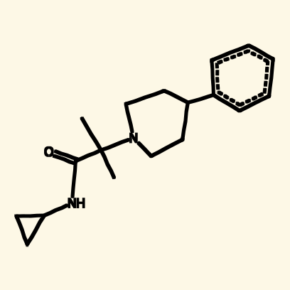 CC(C)(C(=O)NC1CC1)N1CCC(c2ccccc2)CC1